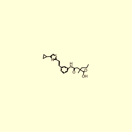 CCCC(C)(CC(=O)Nc1cccc(C=Cc2nc(C3CC3)cs2)c1)C(=O)O